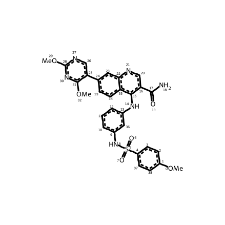 COc1ccc(S(=O)(=O)Nc2cccc(Nc3c(C(N)=O)cnc4cc(-c5cnc(OC)nc5OC)ccc34)c2)cc1